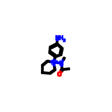 CC(=O)N(C)[N+]1(c2ccc(N)cc2)CCCCC1